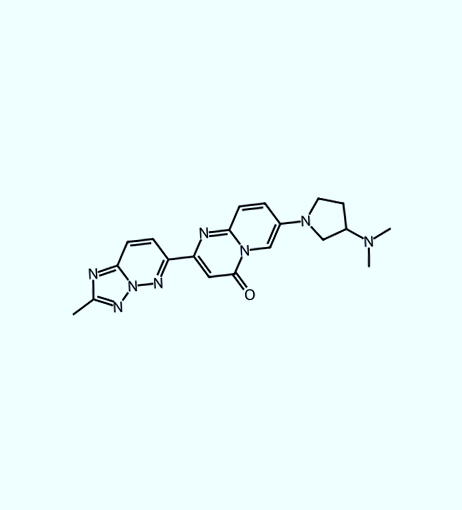 Cc1nc2ccc(-c3cc(=O)n4cc(N5CCC(N(C)C)C5)ccc4n3)nn2n1